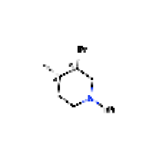 CCCN1CC[C@H](C)[C@H](C(C)C)C1